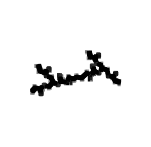 C=CC(=O)OCC(COC(=O)C=C)OC(=O)NCCCCCNC(=O)OC(COC(=O)C=C)COC(=O)C=C